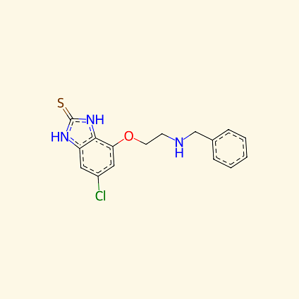 S=c1[nH]c2cc(Cl)cc(OCCNCc3ccccc3)c2[nH]1